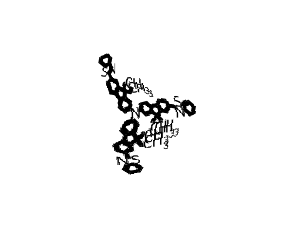 CCC1(CC)c2cc(-c3nc4ccccc4s3)ccc2-c2ccc(N(c3ccc4c(c3)C(CC)(CC)c3cc(-c5nc6ccccc6s5)ccc3-4)c3ccc4c(c3)C(CC)(CC)c3cc(-c5nc6ccccc6s5)ccc3-4)cc21